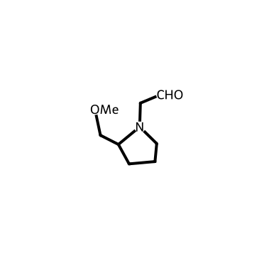 COCC1CCCN1CC=O